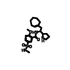 CNS(=O)(=O)c1ccc(OC)c(C(=O)NC(CC2=CCCCCC2)C2CCCN2)c1